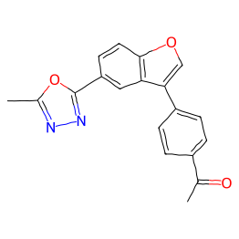 CC(=O)c1ccc(-c2coc3ccc(-c4nnc(C)o4)cc23)cc1